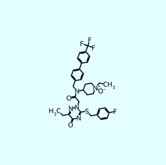 CCc1nn(CC(=O)N(Cc2ccc(-c3ccc(C(F)(F)F)cc3)cc2)C2CC[N+]([O-])(CC)CC2)c(SCc2ccc(F)cc2)nc1=O